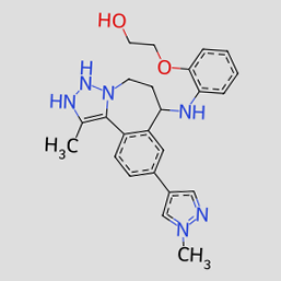 CC1=C2c3ccc(-c4cnn(C)c4)cc3C(Nc3ccccc3OCCO)CCN2NN1